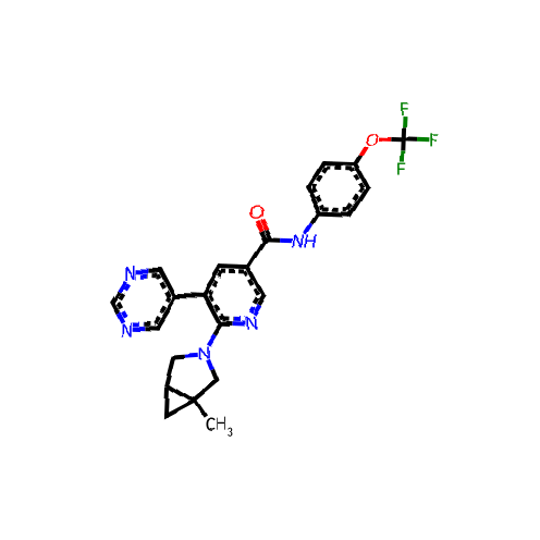 CC12CC1CN(c1ncc(C(=O)Nc3ccc(OC(F)(F)F)cc3)cc1-c1cncnc1)C2